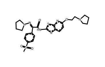 CS(=O)(=O)c1ccc(/C(=N\N2CCCC2)C(=O)Nc2nc3ccc(OCCN4CCCC4)nc3s2)cc1